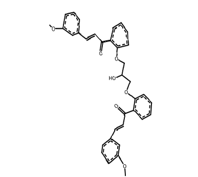 COc1cccc(/C=C/C(=O)c2ccccc2OCC(O)COc2ccccc2C(=O)/C=C/c2cccc(OC)c2)c1